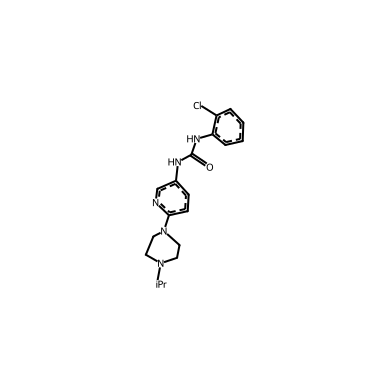 CC(C)N1CCN(c2ccc(NC(=O)Nc3ccccc3Cl)cn2)CC1